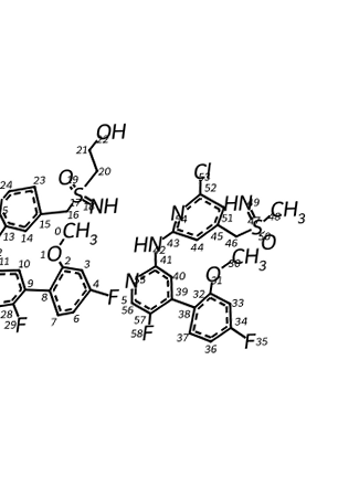 COc1cc(F)ccc1-c1cc(Nc2cc(CS(=N)(=O)CCO)ccn2)ncc1F.COc1cc(F)ccc1-c1cc(Nc2cc(CS(C)(=N)=O)cc(Cl)n2)ncc1F